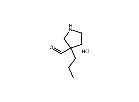 CCCC1(C=O)CCNC1.Cl